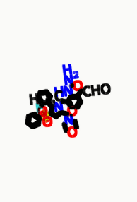 NC(=O)Nc1c(CC=O)cccc1C(C(=O)O)N1C(C(=O)N2CCOCC2)CC(S(=O)(=O)c2ccccc2)C1c1ccccc1F